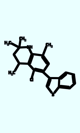 Cc1cc(-c2csc3ccccc23)c(Cl)c2c1NC(C)(C)CC2C